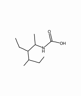 CCC(C)C(CC)C(C)NC(=O)O